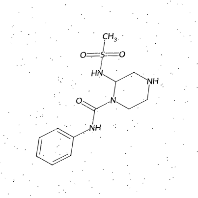 CS(=O)(=O)NC1CNCCN1C(=O)Nc1ccccc1